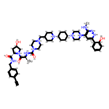 C#Cc1ccc(CNC(=O)[C@@H]2C[C@@H](O)CN2C(=O)[C@@H](NC(=O)N2CCN(CC3CCN([C@H]4CC[C@@H](N5CCN(c6cc(-c7ccccc7O)nnc6NCC)CC5)CC4)CC3)CC2)C(C)(C)C)cc1